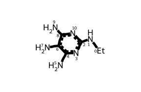 CCNc1nc(N)c(N)c(N)n1